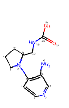 Nc1cnccc1N1CCCC1CNC(=O)O